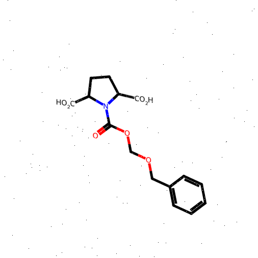 O=C(O)C1CCC(C(=O)O)N1C(=O)OCOCc1ccccc1